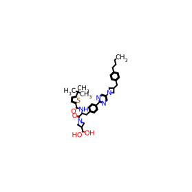 CCCCc1ccc(CC2CN(c3cnc(-c4ccc(CC(NC(=O)c5ccc(C(C)(C)C)s5)C(=O)N5CC(C(O)O)C5)cc4)nc3)C2)cc1